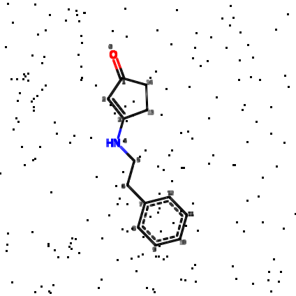 O=C1C=C(NCCc2ccccc2)CC1